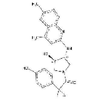 Cc1ccc2nc(N[C@@H]3CN(C(=O)C4(c5ccc(O)cc5)CC4)C[C@H]3O)cc(C)c2c1